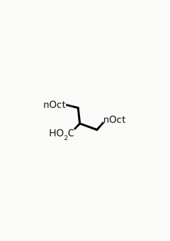 CCCCCCCCCC(CCCCCCCCC)C(=O)O